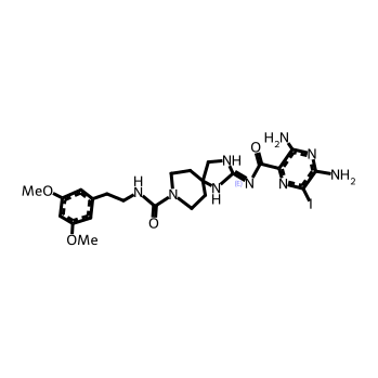 COc1cc(CCNC(=O)N2CCC3(CC2)CN/C(=N\C(=O)c2nc(I)c(N)nc2N)N3)cc(OC)c1